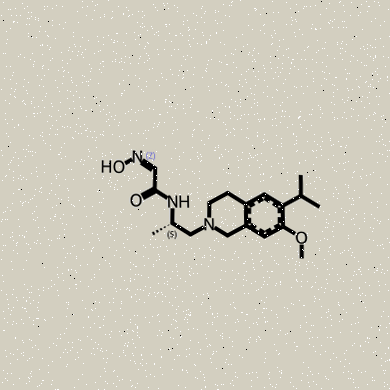 COc1cc2c(cc1C(C)C)CCN(C[C@H](C)NC(=O)/C=N\O)C2